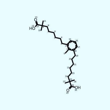 Cc1c(CCCCCCC(C)(C)C(=O)O)cccc1CCCCCCC(C)(C)C(=O)O